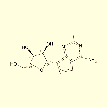 Cc1nc(N)c2cnn([C@@H]3O[C@H](CO)[C@@H](O)[C@H]3O)c2n1